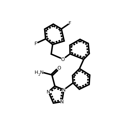 NC(=O)c1ncnn1-c1cccc(-c2ccccc2OCc2cc(F)ccc2F)c1